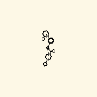 O=C([C@@H]1C[C@H]1c1cccc(N2CCCCC2=O)c1)N1CCN(C2CCC2)CC1